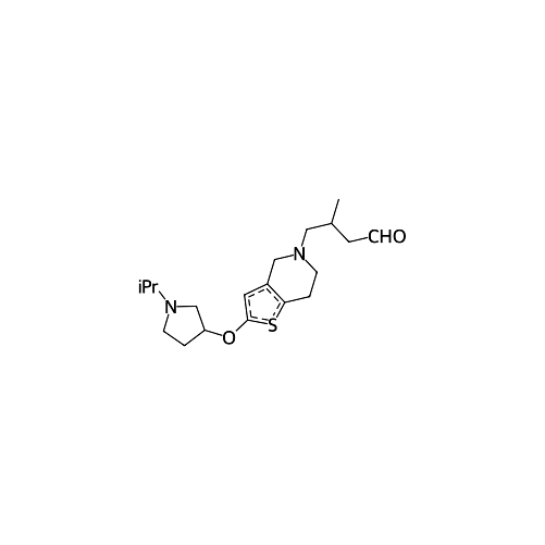 CC(CC=O)CN1CCc2sc(OC3CCN(C(C)C)C3)cc2C1